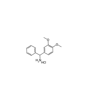 COc1ccc(C(N)c2ccccc2)cc1OC.Cl